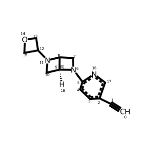 C#Cc1ccc(N2CC3[C@@H]2CN3C2COC2)nc1